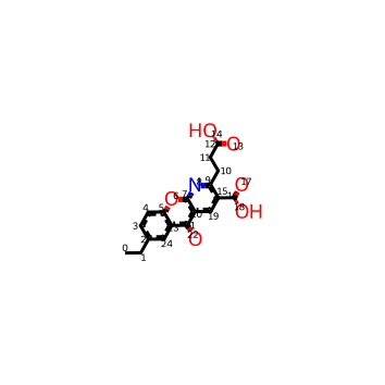 CCc1ccc2oc3nc(CCC(=O)O)c(C(=O)O)cc3c(=O)c2c1